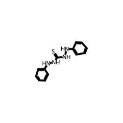 S=C(NNc1ccccc1)NNc1ccccc1